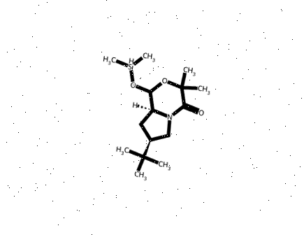 C[SiH](C)OC1OC(C)(C)C(=O)N2C[C@@H](C(C)(C)C)C[C@@H]12